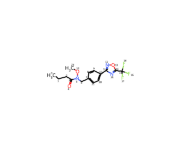 CCCC(=O)N(Cc1ccc(-c2noc(C(F)(F)F)n2)cc1)OC